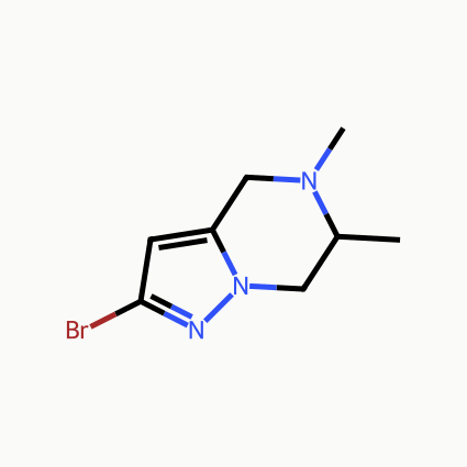 CC1Cn2nc(Br)cc2CN1C